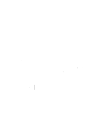 CC(=O)C1=C(Cl)CCCC1